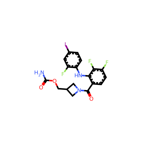 NC(=O)OCC1CN(C(=O)c2ccc(F)c(F)c2Nc2ccc(I)cc2F)C1